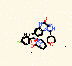 Cc1cc2[nH]c(=O)c3nnc(C4CCOCC4)n3c2cc1C(=O)N1C2CCC1C(=O)N(Cc1ccc(F)cc1)C2